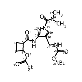 CCC(=O)OC1CCC1C(=O)Nc1nn(C(=O)N(C)C)cc1CNC(=O)OC(C)(C)C